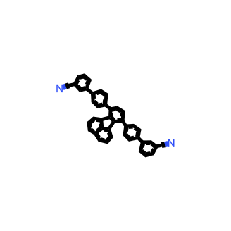 N#Cc1cccc(-c2ccc(-c3ccc(-c4ccc(-c5cccc(C#N)c5)cc4)c4c3-c3cccc5cccc-4c35)cc2)c1